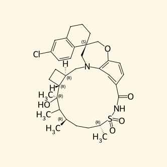 CC1[C@H](C)CC[C@@H](C)S(=O)(=O)NC(=O)c2ccc3c(c2)N(C[C@@H]2CC[C@H]2[C@]1(C)O)C[C@@]1(CCCc2cc(Cl)ccc21)CO3